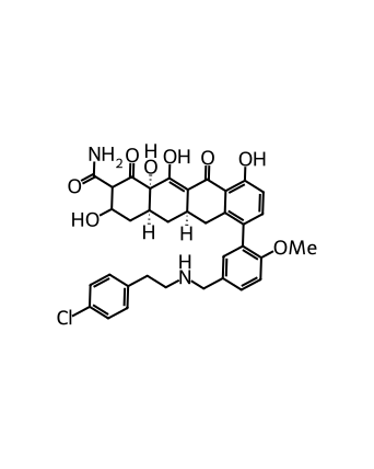 COc1ccc(CNCCc2ccc(Cl)cc2)cc1-c1ccc(O)c2c1C[C@H]1C[C@H]3CC(O)C(C(N)=O)C(=O)[C@@]3(O)C(O)=C1C2=O